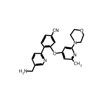 Cc1cc(Oc2cc(C#N)ccc2-c2ccc(CN)cn2)cc(N2CCOCC2)n1